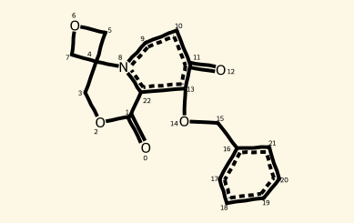 O=C1OCC2(COC2)n2ccc(=O)c(OCc3ccccc3)c21